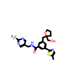 Cc1cnc(-c2cc(CC3(CO)CCCO3)cc(C(=O)NCc3cnc(C(F)(F)F)nc3)c2)s1